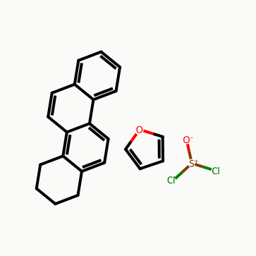 [O-][S+](Cl)Cl.c1ccc2c(c1)ccc1c3c(ccc12)CCCC3.c1ccoc1